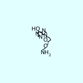 NCCOC[C@@H]1CC[C@H](n2cnc3c(O)ncnc32)O1